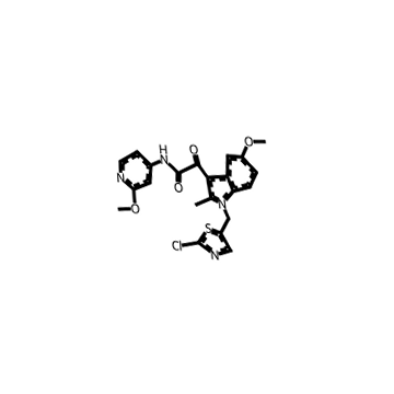 COc1ccc2c(c1)c(C(=O)C(=O)Nc1ccnc(OC)c1)c(C)n2Cc1cnc(Cl)s1